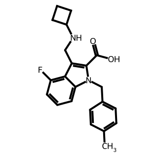 Cc1ccc(Cn2c(C(=O)O)c(CNC3CCC3)c3c(F)cccc32)cc1